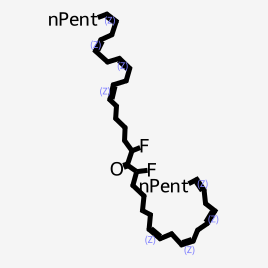 CCCCC/C=C\C/C=C\C/C=C\C/C=C\CCCCC(F)C(=O)C(F)CCCC/C=C\C/C=C\C/C=C\C/C=C\CCCCC